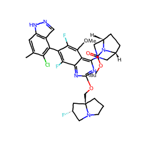 COc1c(F)c(-c2c(Cl)c(C)cc3[nH]ncc23)c(F)c2nc(OC[C@@]34CCCN3C[C@H](F)C4)nc(N3C[C@H]4CC[C@@H](C3)N4C(=O)OC(C)(C)C)c12